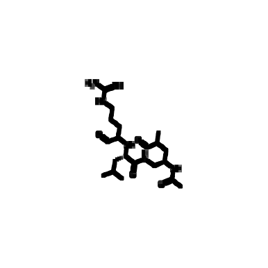 CC(=O)N[C@@H](CNC(=O)[C@H](CC(C)C)NC(C=O)CCCNC(=N)N)CC(C)C=O